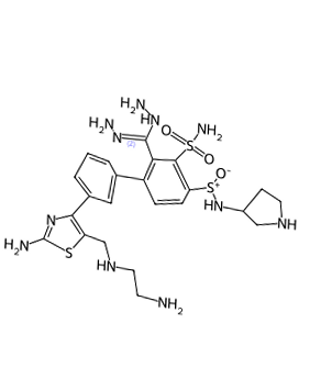 NCCNCc1sc(N)nc1-c1cccc(-c2ccc([S+]([O-])NC3CCNC3)c(S(N)(=O)=O)c2/C(=N/N)NN)c1